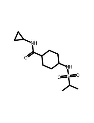 CC(C)S(=O)(=O)NC1CCC(C(=O)NC2CC2)CC1